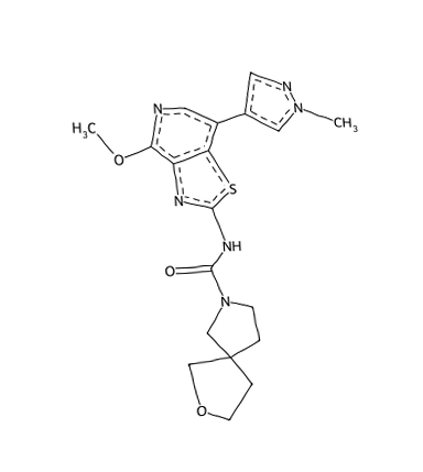 COc1ncc(-c2cnn(C)c2)c2sc(NC(=O)N3CCC4(CCOC4)C3)nc12